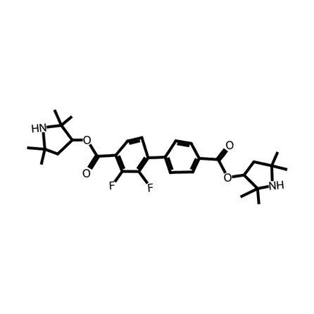 CC1(C)CC(OC(=O)c2ccc(-c3ccc(C(=O)OC4CC(C)(C)NC4(C)C)c(F)c3F)cc2)C(C)(C)N1